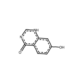 O=c1nc[nH]c2cc(O)ccc12